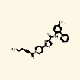 CCCC#CC(=O)N1CCC(c2nc(C(=O)Nc3ccc(C)cc3-c3ccccc3)cs2)CC1